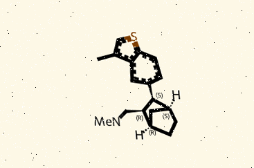 CNC[C@@H]1[C@@H]2CC[C@@H](C2)[C@@H]1c1ccc2scc(C)c2c1